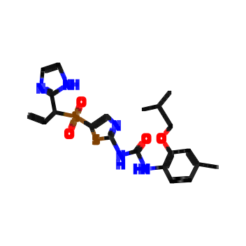 C=CC(c1ncc[nH]1)S(=O)(=O)c1cnc(NC(=O)Nc2ccc(C)cc2OCC(C)C)s1